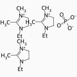 CCN1CC[N+](C)=C1C.CCN1CC[N+](C)=C1C.CCN1CC[N+](C)=C1C.O=P([O-])([O-])[O-]